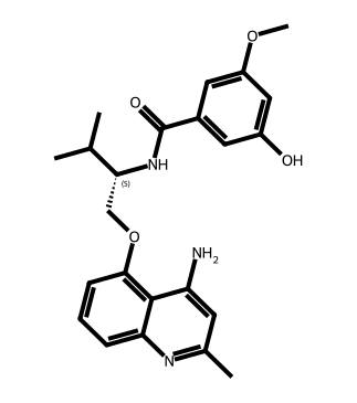 COc1cc(O)cc(C(=O)N[C@H](COc2cccc3nc(C)cc(N)c23)C(C)C)c1